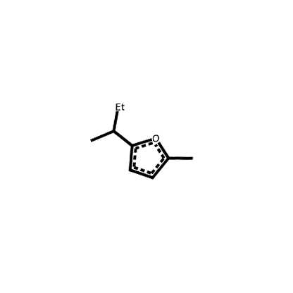 CCC(C)c1ccc(C)o1